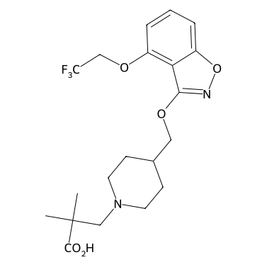 CC(C)(CN1CCC(COc2noc3cccc(OCC(F)(F)F)c23)CC1)C(=O)O